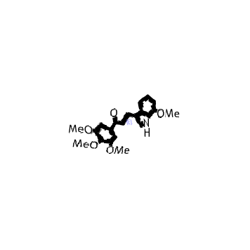 COc1cc(C(=O)/C=C/c2c[nH]c3c(OC)cccc23)cc(OC)c1OC